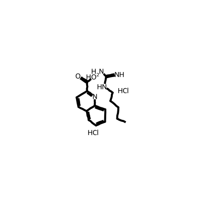 CCCCCNC(=N)N.Cl.Cl.O=C(O)c1ccc2ccccc2n1